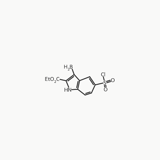 Bc1c(C(=O)OCC)[nH]c2ccc(S(=O)(=O)Cl)cc12